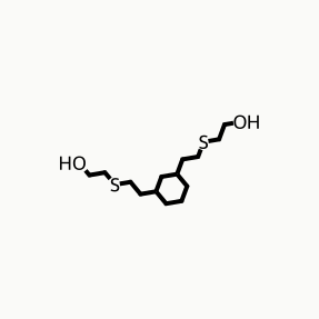 OCCSCCC1CCCC(CCSCCO)C1